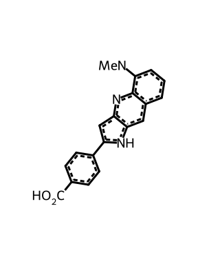 CNc1cccc2cc3[nH]c(-c4ccc(C(=O)O)cc4)cc3nc12